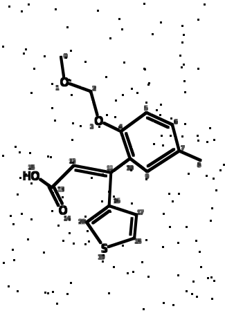 COCOc1ccc(C)cc1C(=CC(=O)O)c1ccsc1